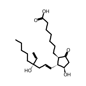 C=C[C@@](O)(CC=C[C@H]1[C@H](O)CC(=O)[C@@H]1CCCCCCC(=O)O)CCCCC